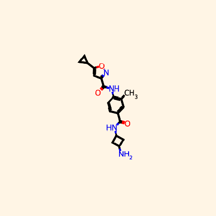 Cc1cc(C(=O)NC2CC(N)C2)ccc1NC(=O)c1cc(C2CC2)on1